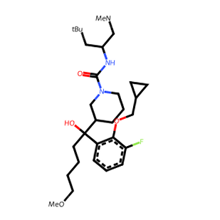 CNCC(CC(C)(C)C)NC(=O)N1CCCC(C(O)(CCCCOC)c2cccc(F)c2OCC2CC2)C1